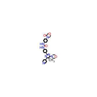 Cc1c(-c2ccncc2)nc(-c2ccc(NC(=O)Nc3ccc(N4CCOCC4=O)cc3)cc2)nc1N1CCOCC1